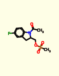 CC(=O)N1c2ccc(F)cc2CC1COS(C)(=O)=O